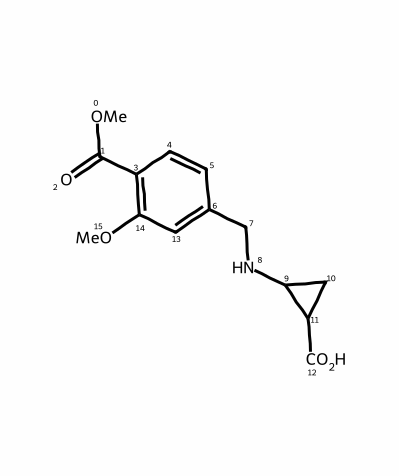 COC(=O)c1ccc(CNC2CC2C(=O)O)cc1OC